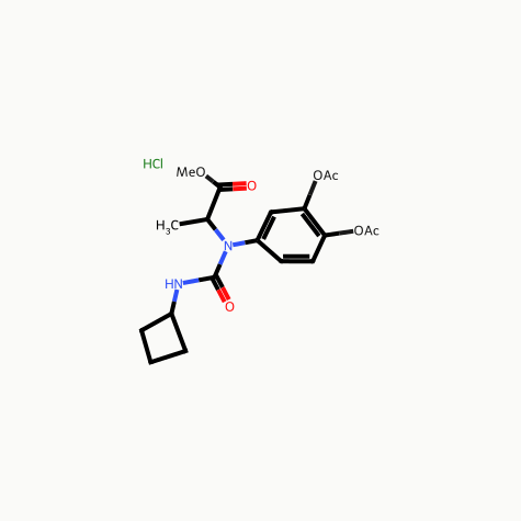 COC(=O)C(C)N(C(=O)NC1CCC1)c1ccc(OC(C)=O)c(OC(C)=O)c1.Cl